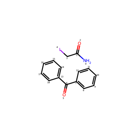 NC(=O)CI.O=C(c1ccccc1)c1ccccc1